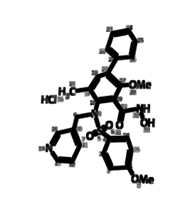 COc1ccc(S(=O)(=O)N(Cc2cccnc2)c2c(C)cc(-c3ccccc3)c(OC)c2C(=O)NO)cc1.Cl